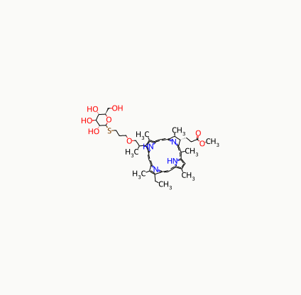 CCC1=C(C)c2cc3[nH]c(cc4nc(c(C)c5cc(C)c(cc1n2)[nH]5)[C@@H](CCC(=O)OC)[C@@H]4C)c(C)c3C(C)COCCCS[C@@H]1O[C@H](CO)[C@@H](O)[C@H](O)[C@H]1O